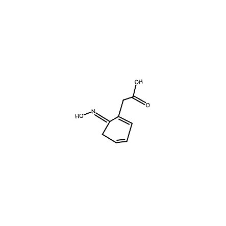 O=C(O)CC1=CC=CCC1=NO